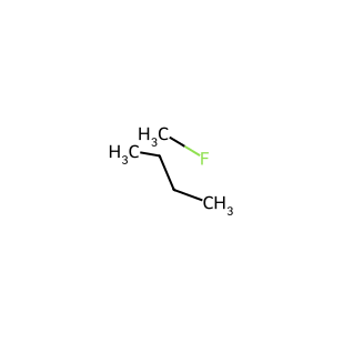 CCCC.CF